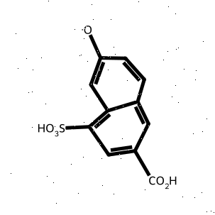 [O]c1ccc2cc(C(=O)O)cc(S(=O)(=O)O)c2c1